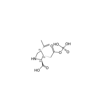 C=C(C)[C@H]1CN[C@H](C(=O)O)[C@H]1CC(=O)OP(=O)(O)O